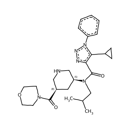 CC(C)CN(C(=O)c1nnn(-c2ccccc2)c1C1CC1)[C@@H]1CNC[C@H](C(=O)N2CCOCC2)C1